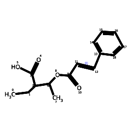 CCC(C(=O)O)C(C)OC(=O)/C=C/c1ccccc1